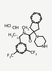 C[C@@H](c1cc(C(F)(F)F)cc(C(F)(F)F)c1)N(C)C(=O)C1(N2CCNCC2)Cc2ccccc2C1.Cl.Cl